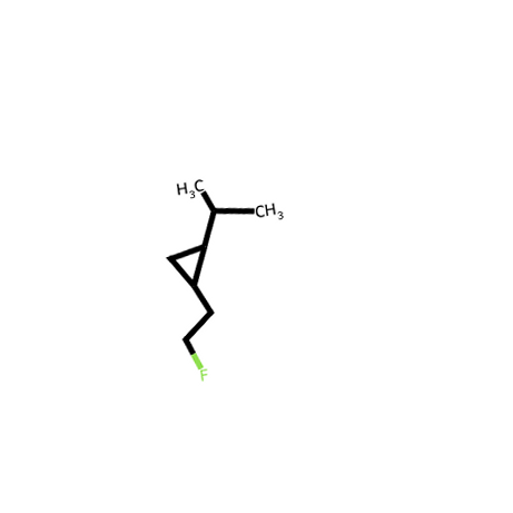 CC(C)C1CC1CCF